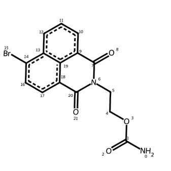 NC(=O)OCCN1C(=O)c2cccc3c(Br)ccc(c23)C1=O